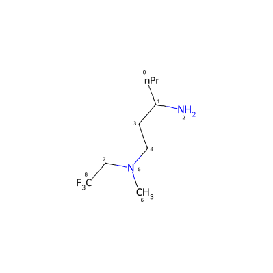 CCCC(N)CCN(C)CC(F)(F)F